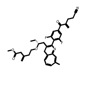 C=C(CCO[C@H](CC)CC1=C(c2c(F)cc(C(=O)C(=C)CCC#N)cc2F)N=C2C=C(C)C=CC=C2C1)CC(=O)OC